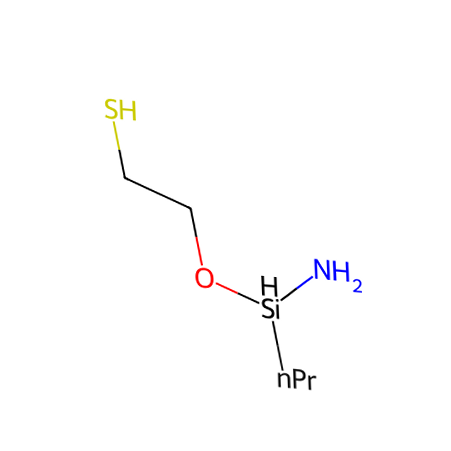 CCC[SiH](N)OCCS